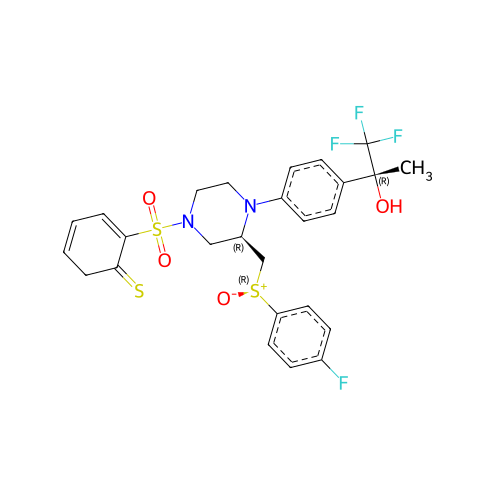 C[C@@](O)(c1ccc(N2CCN(S(=O)(=O)C3=CC=CCC3=S)C[C@@H]2C[S@+]([O-])c2ccc(F)cc2)cc1)C(F)(F)F